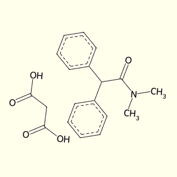 CN(C)C(=O)C(c1ccccc1)c1ccccc1.O=C(O)CC(=O)O